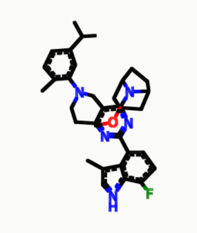 COC1CC2CCC(C1)N2c1nc(-c2ccc(F)c3[nH]cc(C)c23)nc2c1CN(c1cc(C(C)C)ccc1C)CC2